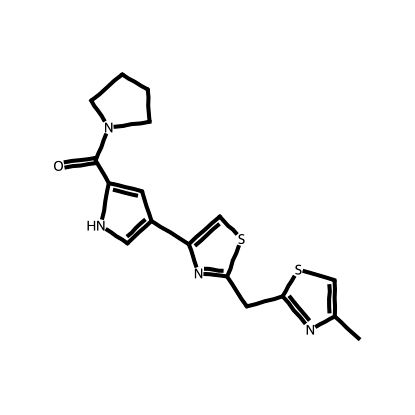 Cc1csc(Cc2nc(-c3c[nH]c(C(=O)N4CCCC4)c3)cs2)n1